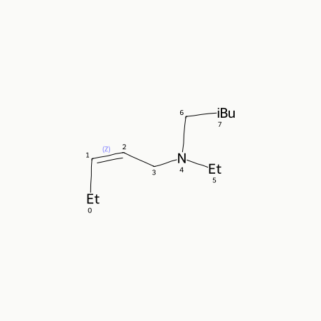 CC/C=C\CN(CC)CC(C)CC